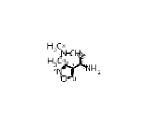 CN(C)C.NC(=O)c1cnoc1